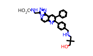 CC(C)(CO)CNCc1ccc(-c2nc3ccn4c(CNC(=O)O)nnc4c3cc2-c2ccccc2)cc1